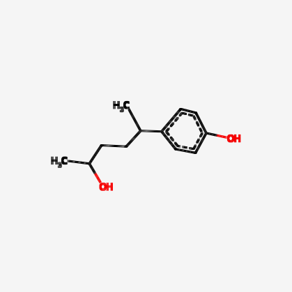 CC(O)CCC(C)c1ccc(O)cc1